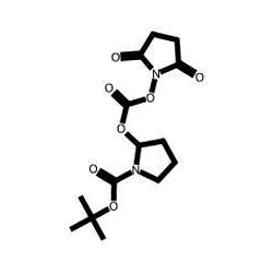 CC(C)(C)OC(=O)N1CCCC1OC(=O)ON1C(=O)CCC1=O